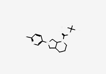 CC(C)(C)OC(=O)N1CCCC2CN(c3ccc(Cl)nc3)CC21